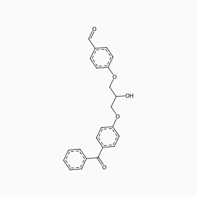 O=Cc1ccc(OCC(O)COc2ccc(C(=O)c3ccccc3)cc2)cc1